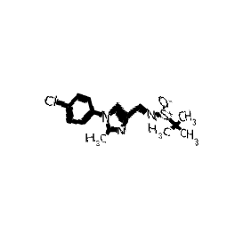 Cc1nc(/C=N/[S@+]([O-])C(C)(C)C)cn1-c1ccc(Cl)cc1